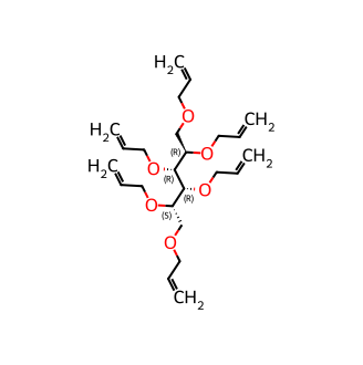 C=CCOC[C@H](OCC=C)[C@@H](OCC=C)[C@H](OCC=C)[C@@H](COCC=C)OCC=C